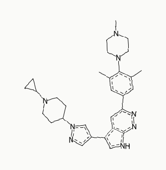 Cc1cc(-c2cc3c(-c4cnn(C5CCN(C6CC6)CC5)c4)c[nH]c3nn2)cc(C)c1N1CCN(C)CC1